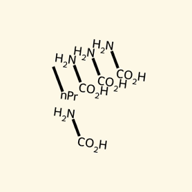 CCCC.NC(=O)O.NC(=O)O.NC(=O)O.NC(=O)O